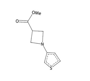 COC(=O)C1CN(c2ccsc2)C1